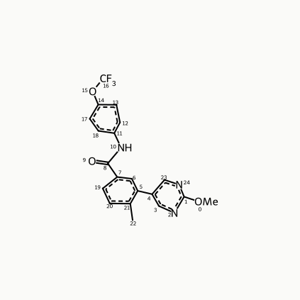 COc1ncc(-c2cc(C(=O)Nc3ccc(OC(F)(F)F)cc3)ccc2C)cn1